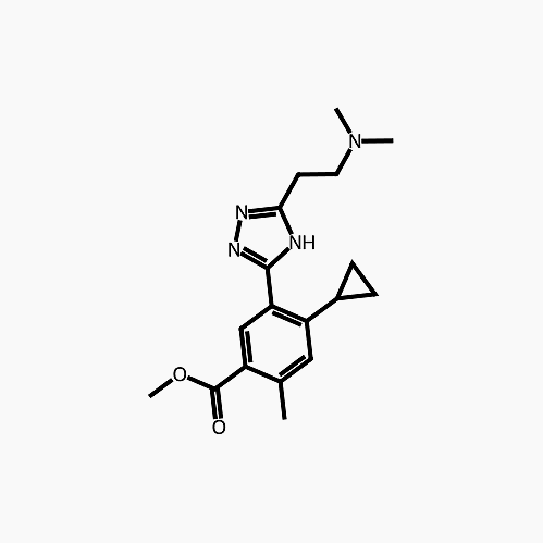 COC(=O)c1cc(-c2nnc(CCN(C)C)[nH]2)c(C2CC2)cc1C